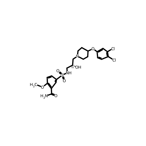 COc1ccc(S(=O)(=O)NC[C@@H](O)CN2CCC(Oc3ccc(Cl)c(Cl)c3)CC2)cc1C(N)=O